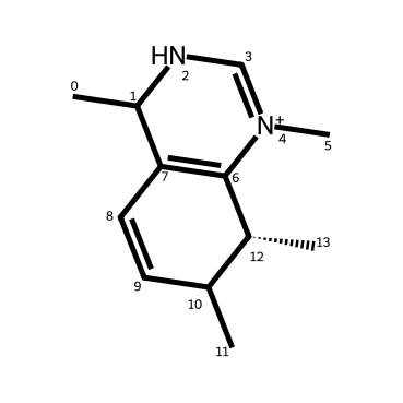 CC1NC=[N+](C)C2=C1C=CC(C)[C@H]2C